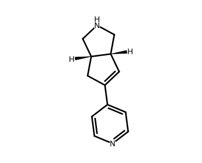 C1=C(c2ccncc2)C[C@@H]2CNC[C@H]12